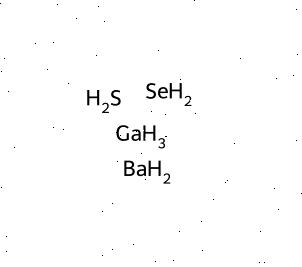 S.[BaH2].[GaH3].[SeH2]